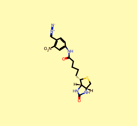 [N-]=[N+]=Cc1ccc(NC(=O)CCCC[C@@H]2SC[C@@H]3NC(=O)N[C@@H]32)cc1[N+](=O)[O-]